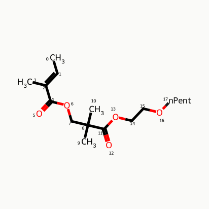 CC=C(C)C(=O)OCC(C)(C)C(=O)OCCOCCCCC